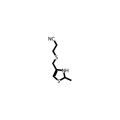 CC1NC(CSCCC#N)=CS1